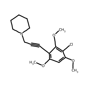 COc1cc(OC)c(C#CCN2CCCCC2)c(OC)c1Cl